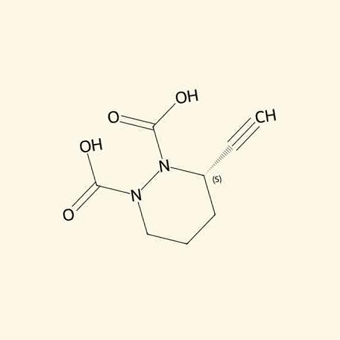 C#C[C@@H]1CCCN(C(=O)O)N1C(=O)O